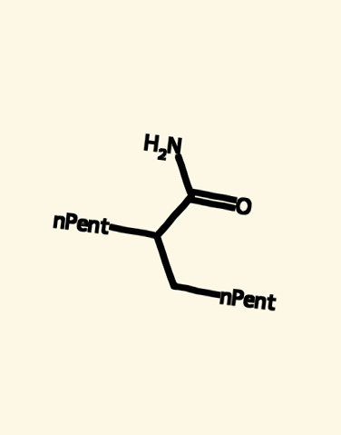 CCCCCCC(CCCCC)C(N)=O